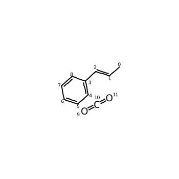 CC=Cc1ccccc1.O=C=O